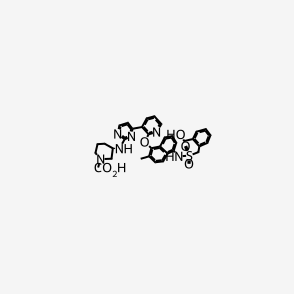 Cc1ccc2c(NS(=O)(=O)Cc3ccccc3CO)cccc2c1Oc1ncccc1-c1ccnc(N[C@H]2CCCN(C(=O)O)C2)n1